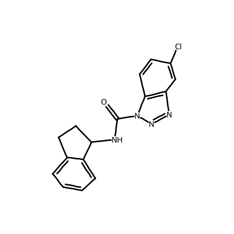 O=C(NC1CCc2ccccc21)n1nnc2cc(Cl)ccc21